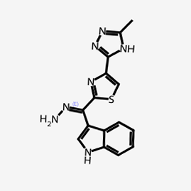 Cc1nnc(-c2csc(/C(=N/N)c3c[nH]c4ccccc34)n2)[nH]1